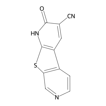 N#Cc1cc2c([nH]c1=O)sc1cnccc12